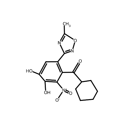 Cc1nc(-c2cc(O)c(O)c([N+](=O)[O-])c2C(=O)C2CCCCC2)no1